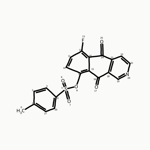 Cc1ccc(S(=O)(=O)Oc2ccc(F)c3c2C(=O)c2cnccc2C3=O)cc1